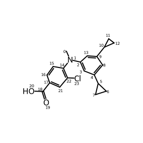 CN(c1cc(C2CC2)cc(C2CC2)c1)c1ccc(C(=O)O)cc1Cl